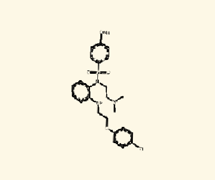 COc1ccc(S(=O)(=O)N(CCN(C)C)c2ccccc2NCCOc2ccc(Cl)cc2)cc1